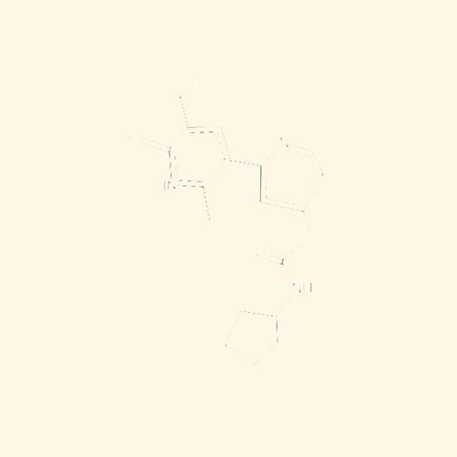 CCc1cc(-c2cc(OC(=O)NC3CCCC3)ccn2)c(C)[nH]c1=O